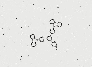 c1ccc2c(c1)c1ccccc1n2-c1ccc(-c2cc(-c3ccc(-n4c5ccccc5c5ccccc54)cc3)cc(-c3ccncn3)c2)cc1